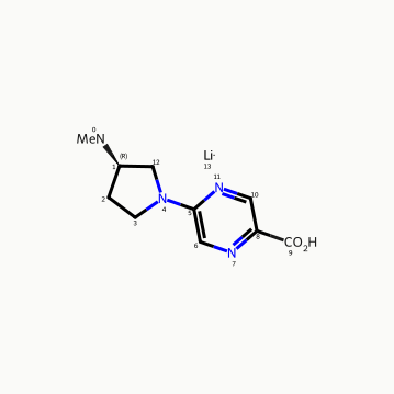 CN[C@@H]1CCN(c2cnc(C(=O)O)cn2)C1.[Li]